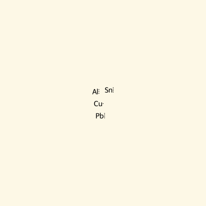 [Al].[Cu].[Pb].[Sn]